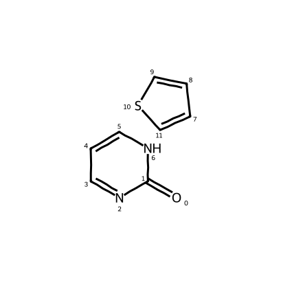 O=c1nccc[nH]1.c1ccsc1